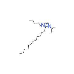 CCCCCCCCCCCCc1n(C(C)C)cc[n+]1CCCCC